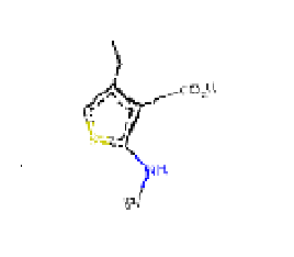 Cc1csc(NC(C)C)c1C(=O)O